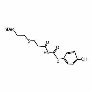 CCCCCCCCCCCCSCCC(=O)NC(=O)Nc1ccc(O)cc1